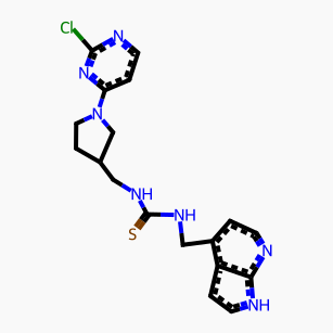 S=C(NCc1ccnc2[nH]ccc12)NCC1CCN(c2ccnc(Cl)n2)C1